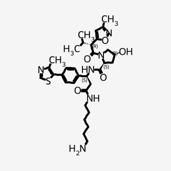 Cc1cc([C@H](C(=O)N2C[C@H](O)C[C@H]2C(=O)N[C@@H](CC(=O)NCCCCCCN)c2ccc(-c3scnc3C)cc2)C(C)C)on1